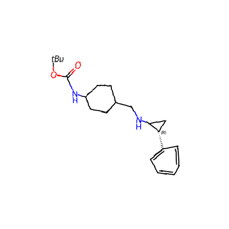 CC(C)(C)OC(=O)NC1CCC(CNC2C[C@@H]2c2ccccc2)CC1